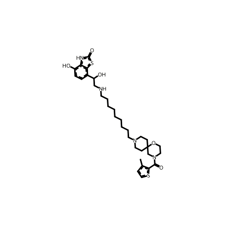 Cc1ccsc1C(=O)N1CCOC2(CCN(CCCCCCCCCNCC(O)c3ccc(O)c4[nH]c(=O)sc34)CC2)C1